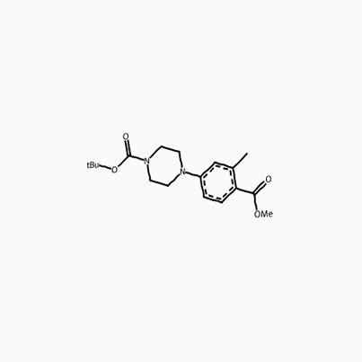 COC(=O)c1ccc(N2CCN(C(=O)OC(C)(C)C)CC2)cc1C